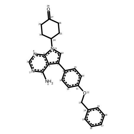 Nc1ncnc2c1c(-c1ccc(OCc3ccccc3)cc1)cn2C1CCC(=O)CC1